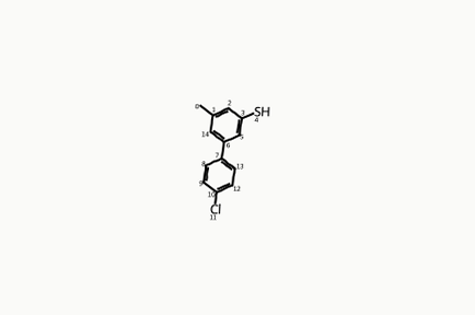 Cc1cc(S)cc(-c2ccc(Cl)cc2)c1